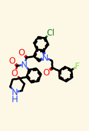 O=C(Cn1cc(C(=O)N2C(=O)OC3(CCNCC3)c3ccccc32)c2ccc(Cl)cc21)c1cccc(F)c1